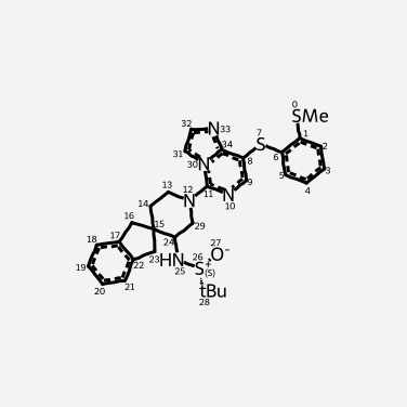 CSc1ccccc1Sc1cnc(N2CCC3(Cc4ccccc4C3)C(N[S@+]([O-])C(C)(C)C)C2)n2ccnc12